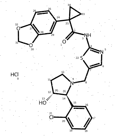 Cl.O=C(Nc1ncc(CN2CC[C@@H](O)[C@@H]2c2ccccc2Cl)s1)C1(c2ccc3c(c2)OCO3)CC1